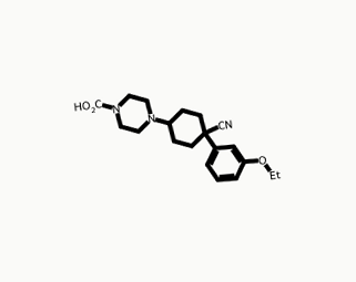 CCOc1cccc(C2(C#N)CCC(N3CCN(C(=O)O)CC3)CC2)c1